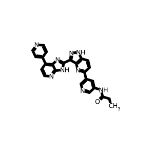 CCC(=O)Nc1cncc(-c2ccc3[nH]nc(-c4nc5c(-c6ccncc6)ccnc5[nH]4)c3n2)c1